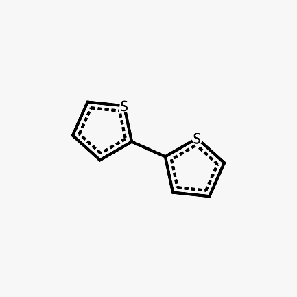 c1csc(-c2cccs2)c1